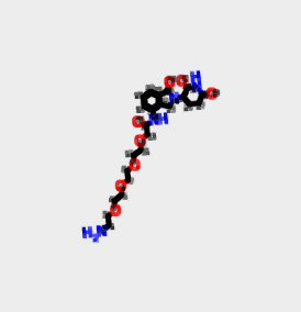 NCCOCCOCCOCCOCC(=O)Nc1cccc2c1CN(C1CCC(=O)NC1=O)C2=O